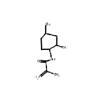 C=C(C)C(=O)NC1CCC(C(C)(C)C)CC1O